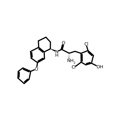 N[C@@H](Cc1c(Cl)cc(O)cc1Cl)C(=O)N[C@@H]1CCCc2ccc(Oc3ccccc3)cc21